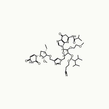 CC[C@H]1C[C@@H](n2ccc(=O)[nH]c2=O)[C@@H](OC)C1OCc1cn(C[C@H]2O[C@@H](n3cnc4c3N=C(NC(=O)C(C)C)CC4=O)[C@@H](OCCOC)C2OP(OCCC#N)C(C(C)C)C(C)C)nn1